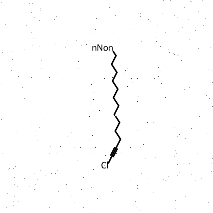 CCCCCCCCCCCCCCCCCCCCC#CCl